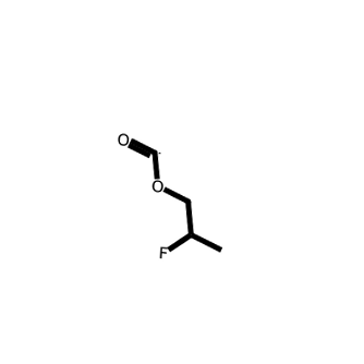 CC(F)CO[C]=O